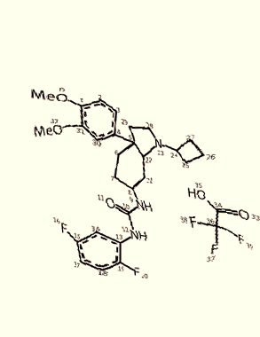 COc1ccc(C23CCC(NC(=O)Nc4cc(F)ccc4F)CC2N(C2CCC2)CC3)cc1OC.O=C(O)C(F)(F)F